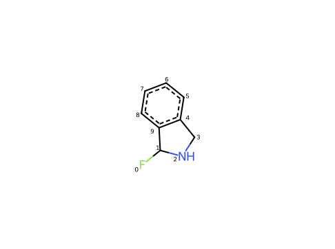 FC1NCc2ccccc21